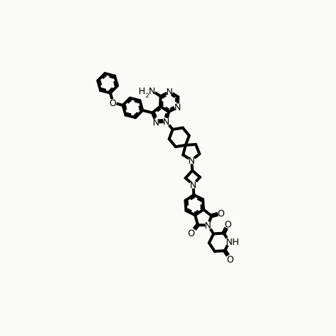 Nc1ncnc2c1c(-c1ccc(Oc3ccccc3)cc1)nn2C1CCC2(CC1)CCN(C1CN(c3ccc4c(c3)C(=O)N(C3CCC(=O)NC3=O)C4=O)C1)C2